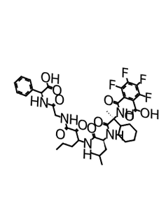 CCCC(NC(=O)[C@H](CC(C)C)NC(=O)[C@@](C)(NC(=O)c1c(F)c(F)c(F)c(F)c1C(=O)O)C1CCCCC1)C(=O)C(=O)NCC(=O)N[C@H](C(=O)O)c1ccccc1